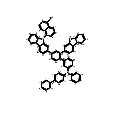 Fc1cccc2c(-n3c4ccccc4c4ccc(-c5ccc(-c6cccc(N(c7ccccc7)c7ccc(-c8ccccc8)cc7)c6)c(-c6ccc7c(c6)oc6ccccc67)c5)cc43)cccc12